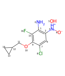 Nc1c([NH+]([O-])O)cc(Cl)c(OCC2CC2)c1F